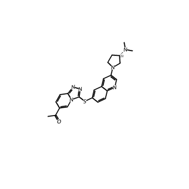 CC(=O)c1ccc2nnc(Sc3ccc4ncc(N5CC[C@H](N(C)C)C5)cc4c3)n2c1